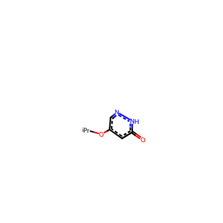 CC(C)Oc1cn[nH]c(=O)c1